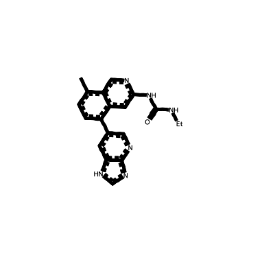 CCNC(=O)Nc1cc2c(-c3cnc4nc[nH]c4c3)ccc(C)c2cn1